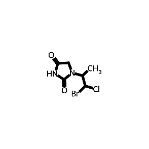 CC(C(Cl)Br)N1CC(=O)NC1=O